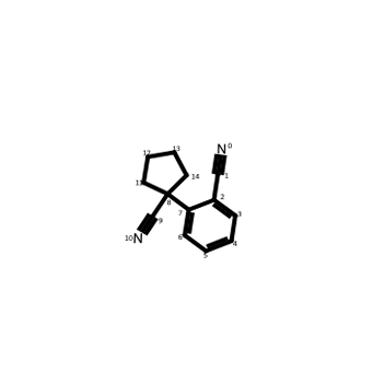 N#Cc1ccccc1C1(C#N)CCCC1